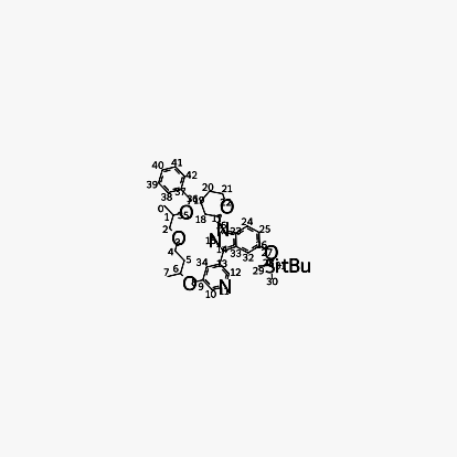 CC(COCCC(C)Oc1cncc(-c2nn(C3CCCCO3)c3ccc(O[Si](C)(C)C(C)(C)C)cc23)c1)OCc1ccccc1